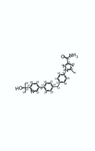 Cc1nc(C(N)=O)nn1-c1ccc(Cc2ccc(-c3ccc(C(C)(C)O)nc3)cc2)cc1